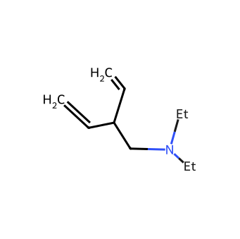 C=CC(C=C)CN(CC)CC